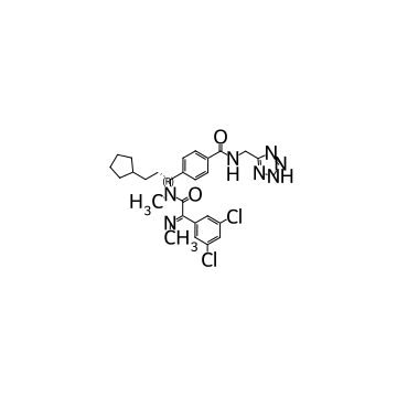 CN=C(C(=O)N(C)[C@H](CCC1CCCC1)c1ccc(C(=O)NCc2nn[nH]n2)cc1)c1cc(Cl)cc(Cl)c1